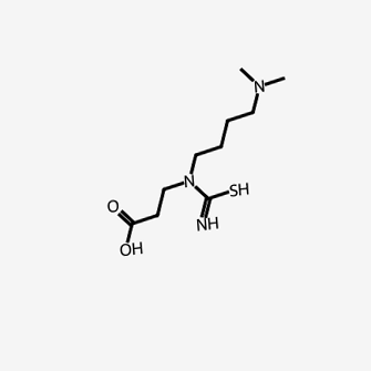 CN(C)CCCCN(CCC(=O)O)C(=N)S